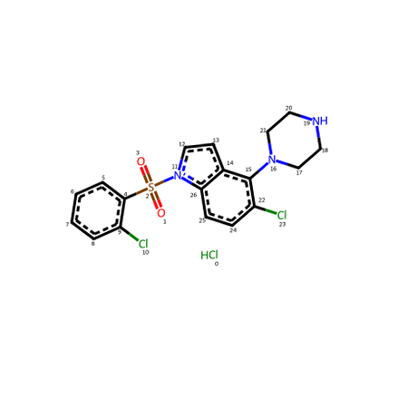 Cl.O=S(=O)(c1ccccc1Cl)n1ccc2c(N3CCNCC3)c(Cl)ccc21